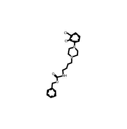 O=C(NCCCCN1CCN(c2cccc(Cl)c2Cl)CC1)OCc1ccccc1